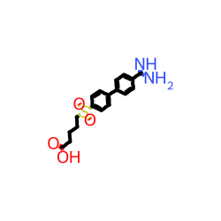 N=C(N)c1ccc(-c2ccc(S(=O)(=O)CCCCC(=O)O)cc2)cc1